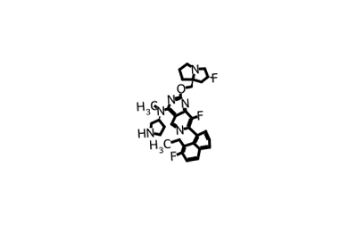 CCc1c(F)ccc2cccc(-c3ncc4c(N(C)[C@@H]5CCNC5)nc(OC[C@@]56CCCN5C[C@H](F)C6)nc4c3F)c12